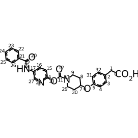 O=C(O)Cc1ccc(OC2CCN(C(=O)Oc3ccc(NC(=O)c4ccccc4)cn3)CC2)cc1